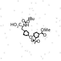 COC(=O)c1ccc(Oc2ccc(C[C@H](NC(=O)OC(C)(C)C)C(=O)O)cc2)c(S(C)(=O)=O)c1